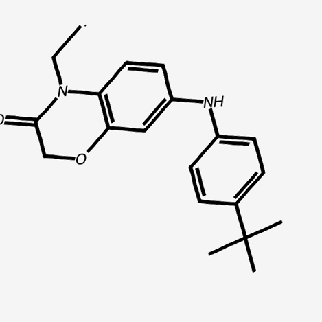 [CH2]CN1C(=O)COc2cc(Nc3ccc(C(C)(C)C)cc3)ccc21